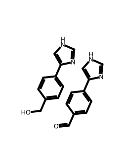 O=Cc1ccc(-c2c[nH]cn2)cc1.OCc1ccc(-c2c[nH]cn2)cc1